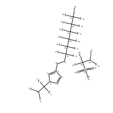 FC(F)C(F)(F)n1cc[n+](CCC(F)(F)C(F)(F)C(F)(F)C(F)(F)C(F)(F)C(F)(F)F)c1.O=S(=O)([O-])C(F)(F)C(F)F